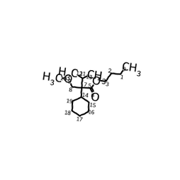 CCCCOC(=O)C(COC)(C(C)C)C1CCCCC1